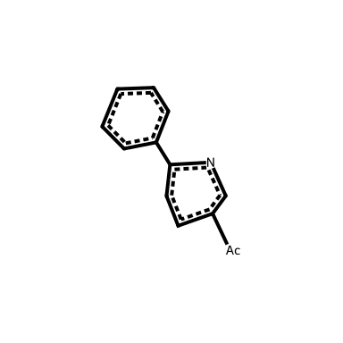 CC(=O)c1ccc(-c2ccccc2)nc1